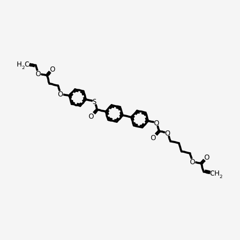 C=COC(=O)CCOc1ccc(SC(=O)c2ccc(-c3ccc(OC(=O)OCCCCOC(=O)C=C)cc3)cc2)cc1